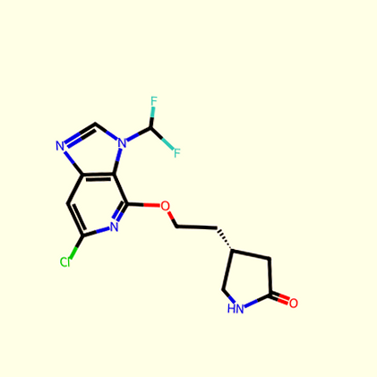 O=C1C[C@@H](CCOc2nc(Cl)cc3ncn(C(F)F)c23)CN1